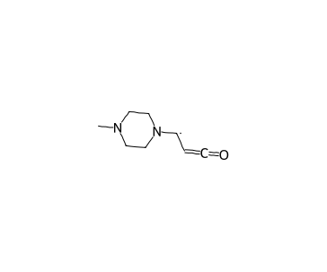 CN1CCN([CH]C=C=O)CC1